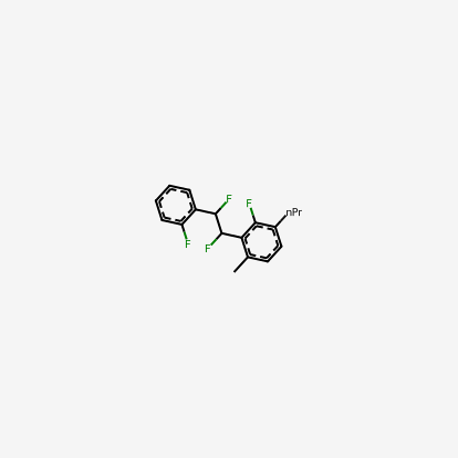 CCCc1ccc(C)c(C(F)C(F)c2ccccc2F)c1F